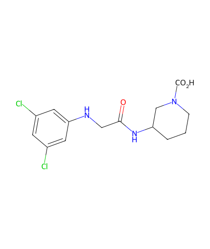 O=C(CNc1cc(Cl)cc(Cl)c1)NC1CCCN(C(=O)O)C1